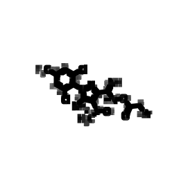 C[S+]([O-])c1c(C(=N)NOC(=O)CBr)nn(-c2c(Cl)cc(C(F)(F)F)cc2Cl)c1N